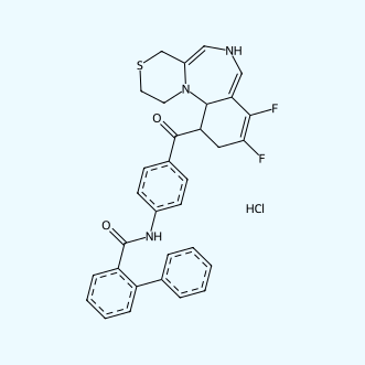 Cl.O=C(Nc1ccc(C(=O)C2CC(F)=C(F)C3=CNC=C4CSCCN4C32)cc1)c1ccccc1-c1ccccc1